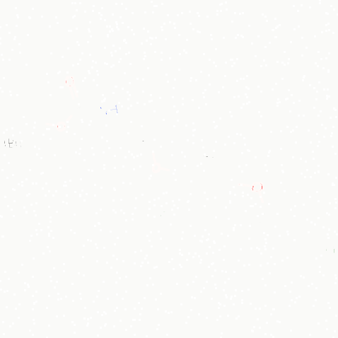 CC(C)(C)COC(=O)NCCOc1ccc(Oc2cccc(Cl)c2)cc1Cl